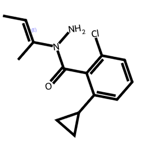 C/C=C(\C)N(N)C(=O)c1c(Cl)cccc1C1CC1